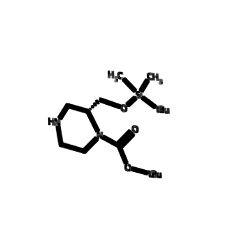 CC(C)(C)OC(=O)N1CCNC[C@@H]1CO[Si](C)(C)C(C)(C)C